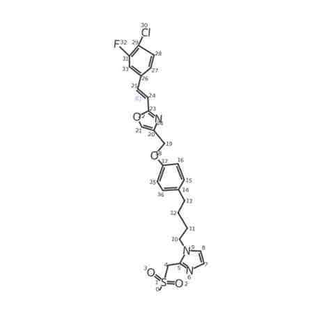 CS(=O)(=O)Cc1nccn1CCCCc1ccc(OCc2coc(/C=C/c3ccc(Cl)c(F)c3)n2)cc1